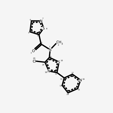 CN(C(=O)c1ccns1)c1sc(-c2cccnc2)nc1Cl